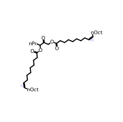 CCCCCCCC/C=C\CCCCCCCC(=O)OCC(=O)C(CCC)OC(=O)CCCCCCC/C=C\CCCCCCCC